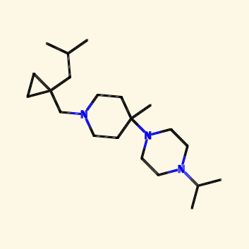 CC(C)CC1(CN2CCC(C)(N3CCN(C(C)C)CC3)CC2)CC1